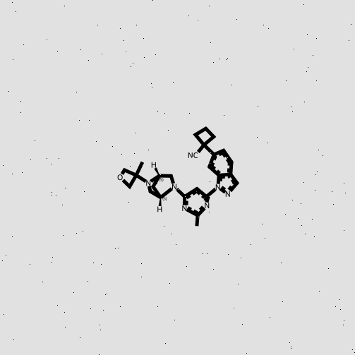 Cc1nc(N2C[C@@H]3C[C@H]2CN3C2(C)COC2)cc(-n2ncc3ccc(C4(C#N)CCC4)cc32)n1